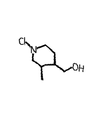 CC1CN(Cl)CCC1CO